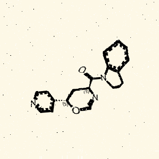 O=C([C@@H]1C[C@@H](c2ccncc2)OC=N1)N1CCc2ccccc21